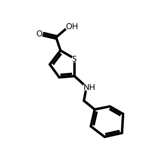 O=C(O)c1ccc(NCc2ccccc2)s1